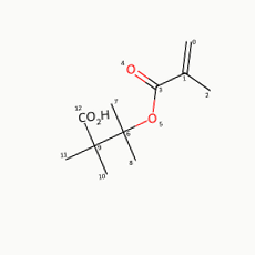 C=C(C)C(=O)OC(C)(C)C(C)(C)C(=O)O